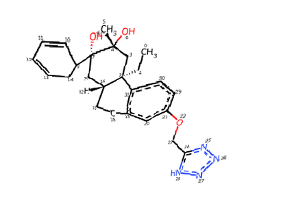 CC[C@@]12C[C@@](C)(O)[C@](O)(C3C=CC=CC3)C[C@H]1CCc1cc(OCc3nnn[nH]3)ccc12